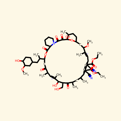 CCOC(=O)C1(C#N)C2/C=C(\C)C(OC)CC3CCC(C)C(O)(O3)C(=O)C(=O)N3CCCCC3C(=O)OC(C(C)CC3CCC(O)C(OC)C3)CC(=O)C(C)/C=C(\C)C(O)C(CO)C(=O)C(C)CC(C)C(CC2)C1(C#N)C(=O)OCC